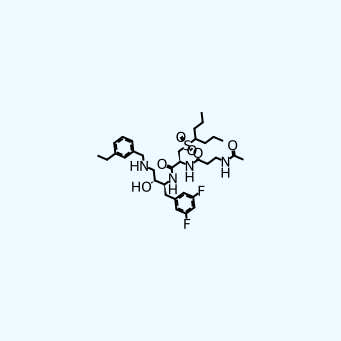 CCCC(CCC)S(=O)(=O)C[C@@H](NC(=O)CCNC(C)=O)C(=O)N[C@@H](Cc1cc(F)cc(F)c1)[C@H](O)CNCc1cccc(CC)c1